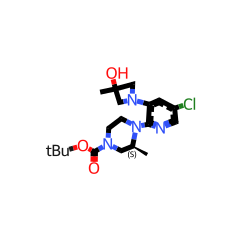 C[C@H]1CN(C(=O)OC(C)(C)C)CCN1c1ncc(Cl)cc1N1CC(C)(O)C1